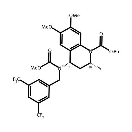 COC(=O)N(Cc1cc(C(F)(F)F)cc(C(F)(F)F)c1)[C@H]1C[C@@H](C)N(C(=O)OCC(C)C)c2cc(OC)c(OC)cc21